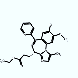 CCOC(=O)COC(=O)CC[C@@H]1N=C(c2ccccn2)c2cc(Cl)c(OC(F)(F)F)cc2-n2c(C)cnc21